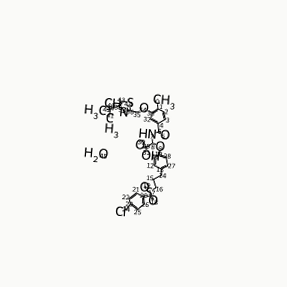 Cc1ccc(C(=O)NC(Oc2ccc(CCCS(=O)(=O)c3ccc(Cl)cc3)cc2)C(=O)O)cc1OCc1nc(C(C)(C)C)cs1.O